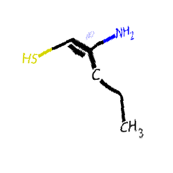 CCC/C(N)=C\S